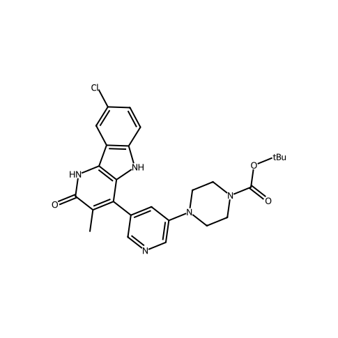 Cc1c(-c2cncc(N3CCN(C(=O)OC(C)(C)C)CC3)c2)c2[nH]c3ccc(Cl)cc3c2[nH]c1=O